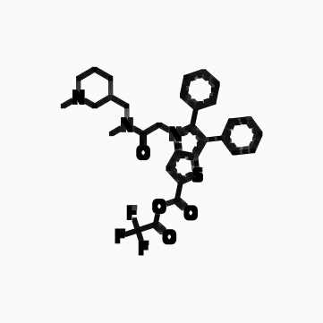 CN1CCCC(CN(C)C(=O)Cn2c(-c3ccccc3)c(-c3ccccc3)c3sc(C(=O)OC(=O)C(F)(F)F)cc32)C1